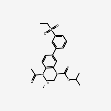 CCS(=O)(=O)c1cccc(-c2ccc3c(c2)N(C(=O)OC(C)C)C[C@H](C)N3C(C)=O)c1